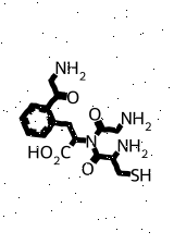 NCC(=O)c1ccccc1CC(C(=O)O)N(C(=O)CN)C(=O)C(N)CS